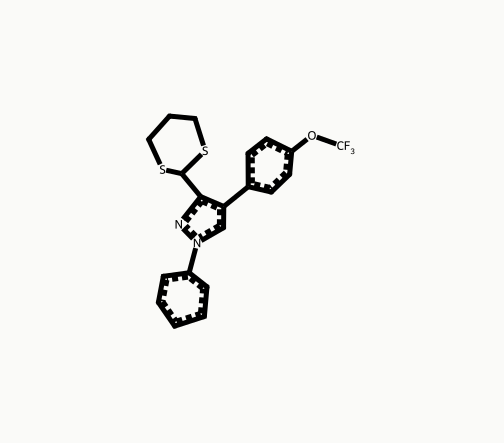 FC(F)(F)Oc1ccc(-c2cn(-c3ccccc3)nc2C2SCCCS2)cc1